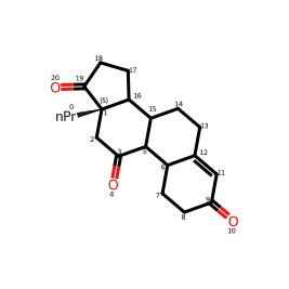 CCC[C@]12CC(=O)C3C4CCC(=O)C=C4CCC3C1CCC2=O